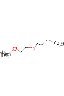 CCCCCCCOCCOCCCC(=O)OCC